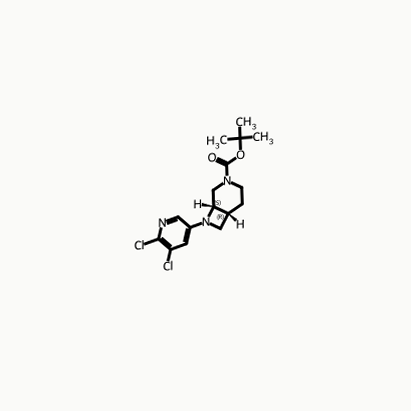 CC(C)(C)OC(=O)N1CC[C@@H]2CN(c3cnc(Cl)c(Cl)c3)[C@@H]2C1